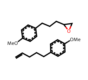 C=CCCCc1ccc(OC)cc1.COc1ccc(CCCC2CO2)cc1